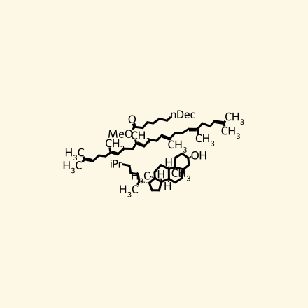 CC(C)=CCC/C(C)=C/CC/C(C)=C/CC/C=C(\C)CC/C=C(\C)CCC=C(C)C.CC(C)CCCC(C)[C@H]1CC[C@H]2[C@@H]3CC=C4C[C@@H](O)CC[C@]4(C)[C@H]3CC[C@]12C.CCCCCCCCCCCCCCCC(=O)OC